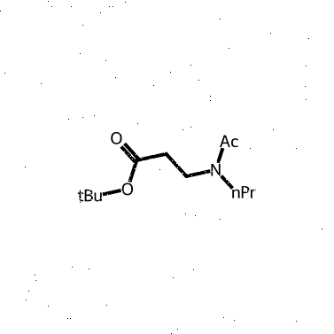 CCCN(CCC(=O)OC(C)(C)C)C(C)=O